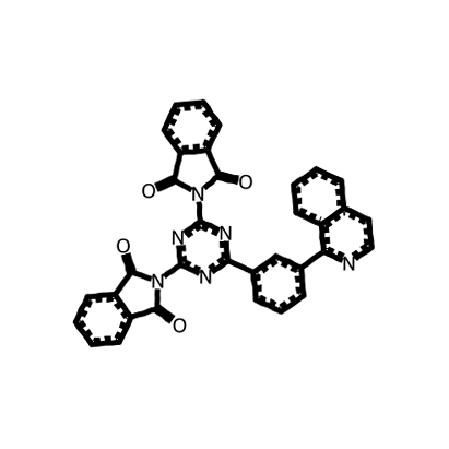 O=C1c2ccccc2C(=O)N1c1nc(-c2cccc(-c3nccc4ccccc34)c2)nc(N2C(=O)c3ccccc3C2=O)n1